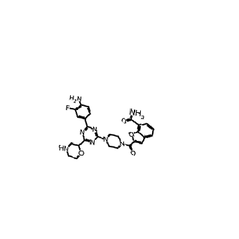 NC(=O)c1cccc2cc(C(=O)N3CCN(c4nc(-c5ccc(N)c(F)c5)nc(C5CNCCO5)n4)CC3)oc12